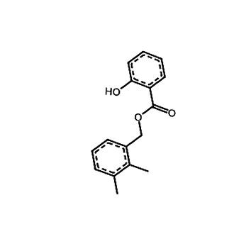 Cc1cccc(COC(=O)c2ccccc2O)c1C